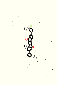 CC12C=CC(c3ccc(F)c(C(F)(F)F)c3)=CC1C(=O)c1cc3c(cc12)C(=O)c1cc(C2C=CC(F)=C(C(F)(F)F)C2)ccc1-3